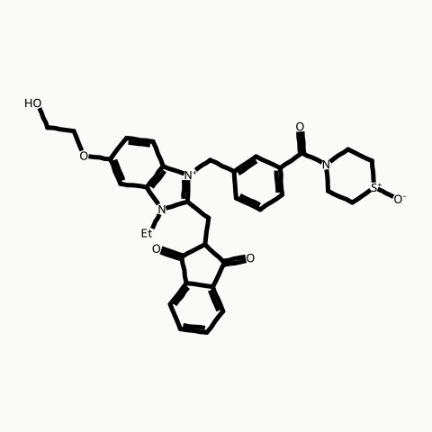 CCn1c(CC2C(=O)c3ccccc3C2=O)[n+](Cc2cccc(C(=O)N3CC[S+]([O-])CC3)c2)c2ccc(OCCO)cc21